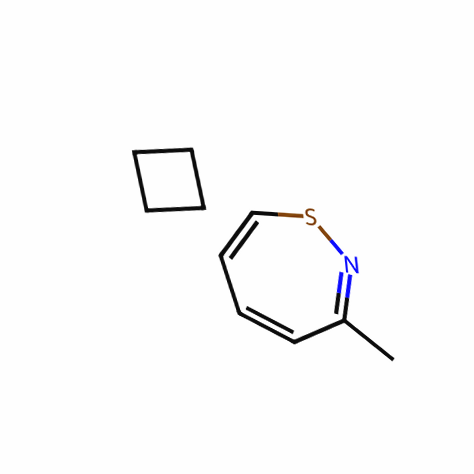 C1CCC1.CC1=NSC=CC=C1